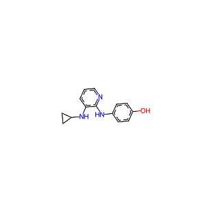 Oc1ccc(Nc2ncccc2NC2CC2)cc1